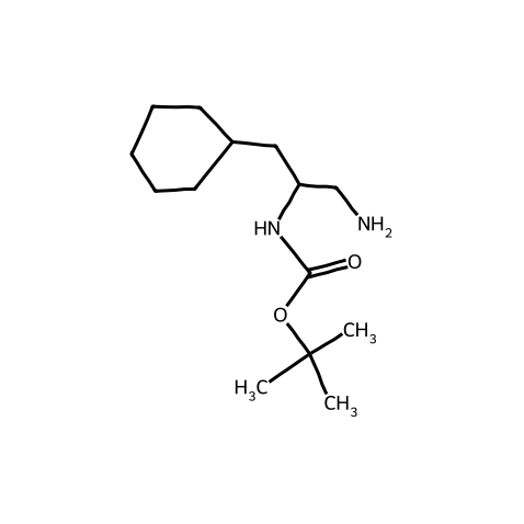 CC(C)(C)OC(=O)NC(CN)CC1CCCCC1